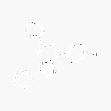 O=C(CC(c1ccc(Cl)cc1)n1ncc(-c2ccccc2)n1)c1ccccc1